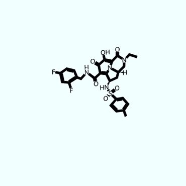 CCN1C[C@H]2C[C@@H](NS(=O)(=O)c3ccc(C)cc3)c3c(C(=O)NCc4ccc(F)cc4F)c(=O)c(O)c(n32)C1=O